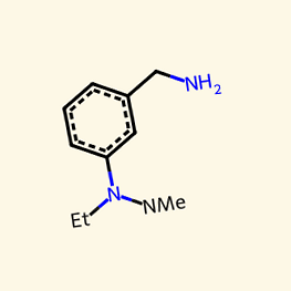 CCN(NC)c1cccc(CN)c1